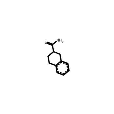 NC(=S)C1CCc2ccccc2C1